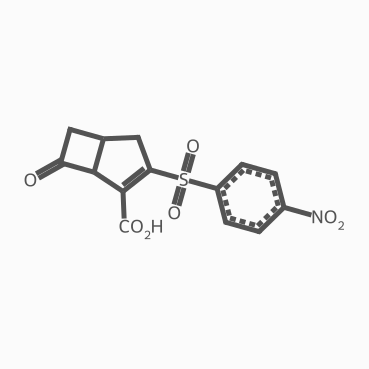 O=C(O)C1=C(S(=O)(=O)c2ccc([N+](=O)[O-])cc2)CC2CC(=O)C12